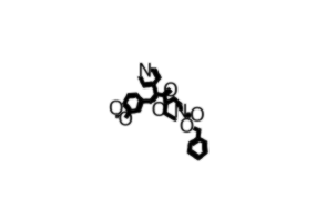 O=C(OCc1ccccc1)N1CCC2(CC1)OC(c1ccc3c(c1)OCO3)=C(c1ccncc1)C2=O